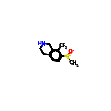 C[S+]([O-])c1ccc2c(c1C(F)(F)F)CNCC2